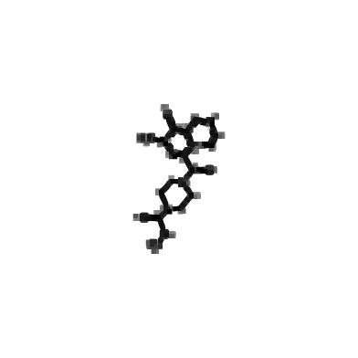 Cn1nc(C(=O)N2CCN(C(=O)OC(C)(C)C)CC2)c2ccncc2c1=O